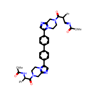 COC(=O)/N=C/C(C(=O)N1CCn2c(-c3ccc(-c4ccc(-c5cnc6n5CCN(C(=O)C(NC(=O)OC)C(C)C)C6)cc4)cc3)cnc2C1)C(C)C